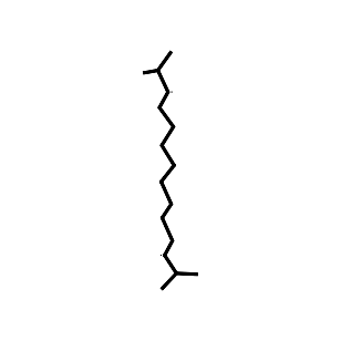 CC(C)[CH]CCCCCCCC[CH]C(C)C